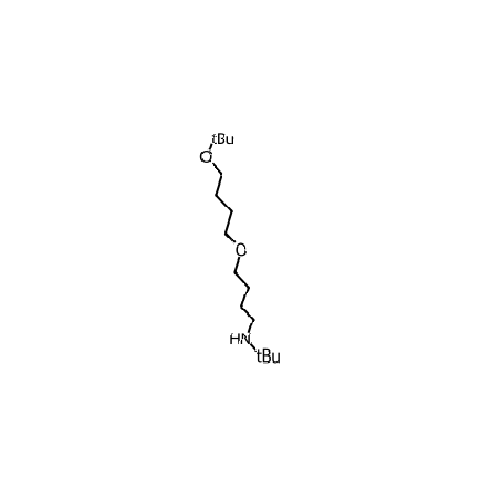 CC(C)(C)NCCCCOCCCCOC(C)(C)C